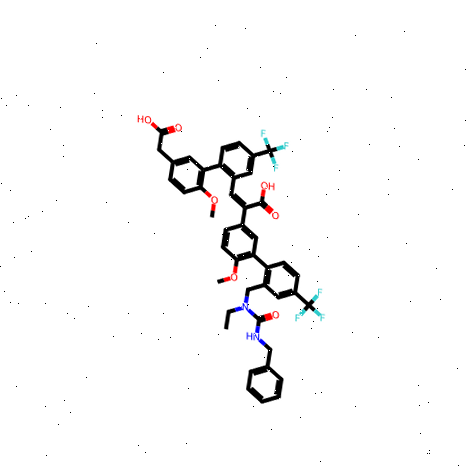 CCN(Cc1cc(C(F)(F)F)ccc1-c1cc(/C(=C/c2cc(C(F)(F)F)ccc2-c2cc(CC(=O)O)ccc2OC)C(=O)O)ccc1OC)C(=O)NCc1ccccc1